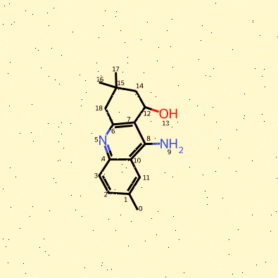 Cc1ccc2nc3c(c(N)c2c1)C(O)CC(C)(C)C3